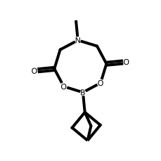 CN1CC(=O)OB(C23CC(C2)C3)OC(=O)C1